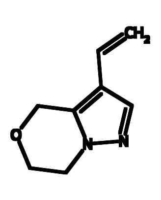 C=Cc1cnn2c1COCC2